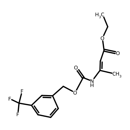 CCOC(=O)C=C(C)NC(=O)OCc1cccc(C(F)(F)F)c1